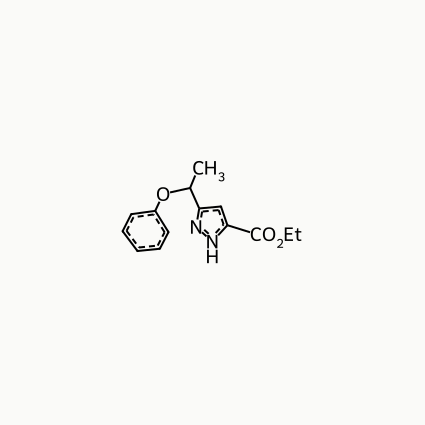 CCOC(=O)c1cc(C(C)Oc2ccccc2)n[nH]1